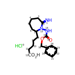 Cl.N=C1CCCCC(CCCCC(=O)O)N1NC(=O)OCc1ccccc1